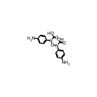 Nc1ccc(N(ON(C(=O)O)c2ccc(N)cc2)C(=O)O)cc1